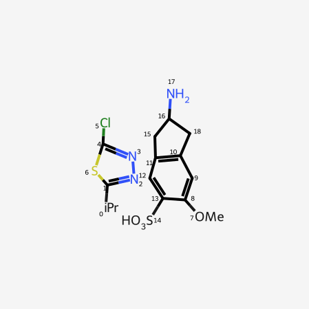 CC(C)c1nnc(Cl)s1.COc1cc2c(cc1S(=O)(=O)O)CC(N)C2